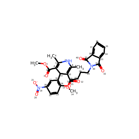 COC(=O)C1=C(C)NC(C)=C(C(=O)OC)C1c1cc([N+](=O)[O-])ccc1OCCCCN1C(=O)c2ccccc2C1=O